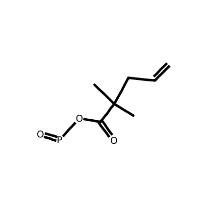 C=CCC(C)(C)C(=O)OP=O